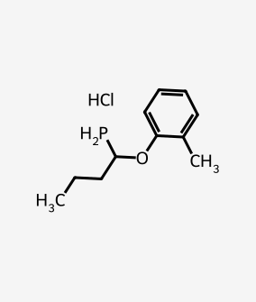 CCCC(P)Oc1ccccc1C.Cl